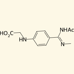 C/N=C(\NC(C)=O)c1ccc(NCC(=O)O)cc1